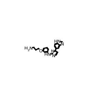 NCCCOc1cccc(Nc2nccc(-c3ccc4[nH]cnc4c3)n2)c1